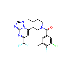 Cc1cc(C(=O)N2CCC(C)[C@H](c3cc(C(F)F)nc4ncnn34)C2)cc(Cl)c1F